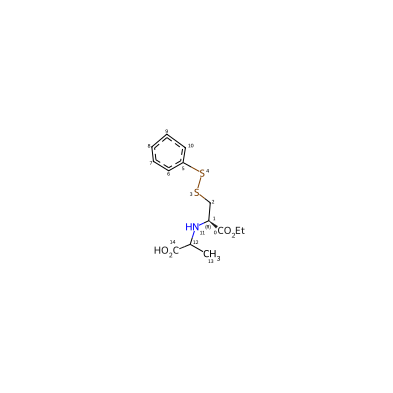 CCOC(=O)[C@H](CSSc1ccccc1)NC(C)C(=O)O